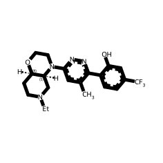 CCN1CC[C@H]2OCCN(c3cc(C)c(-c4ccc(C(F)(F)F)cc4O)nn3)[C@H]2C1